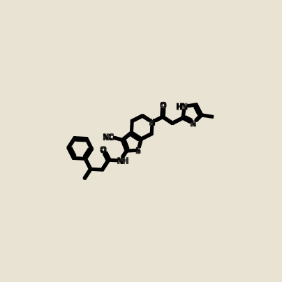 Cc1c[nH]c(CC(=O)N2CCc3c(sc(NC(=O)CC(C)c4ccccc4)c3C#N)C2)n1